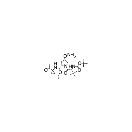 C=C[C@@H]1C[C@]1(NC(=O)[C@@H]1C[C@@H](ON)CN1C(=O)[C@@H](NC(=O)OC(C)(C)C)C(C)(C)C)C(C)=O